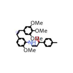 COc1ccc(/C=C\c2cc(OC)c(OC)c(OC)c2)cc1N/C=C\C(=O)c1ccc(C)cc1